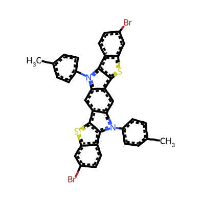 Cc1ccc(-n2c3cc4c5sc6cc(Br)ccc6c5n(-c5ccc(C)cc5)c4cc3c3sc4cc(Br)ccc4c32)cc1